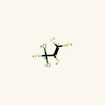 FC(F)=C(F)C(F)(Cl)Cl